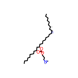 CCCCCC[CH]C/C=C\CCCCCCCC(CCCCCCCCCC)OC(=O)OCCCN(C)C